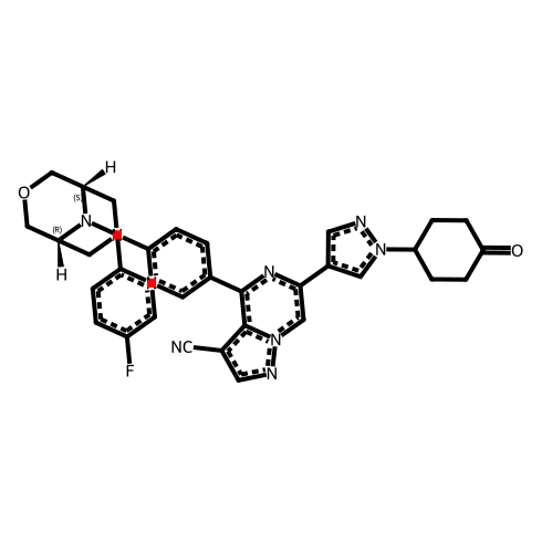 N#Cc1cnn2cc(-c3cnn(C4CCC(=O)CC4)c3)nc(-c3ccc(N4C[C@H]5COC[C@@H](C4)N5Cc4ccc(F)cn4)nc3)c12